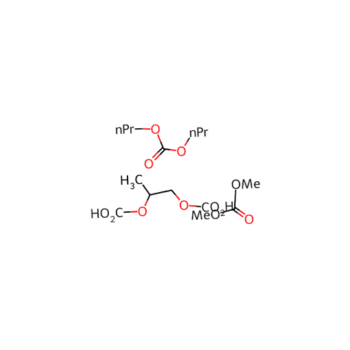 CC(COC(=O)O)OC(=O)O.CCCOC(=O)OCCC.COC(=O)OC